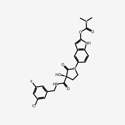 CN(C)C(=O)Oc1cc2cc(N3CC[C@](O)(C(=O)NCc4cc(F)cc(Cl)c4)C3=O)ccc2[nH]1